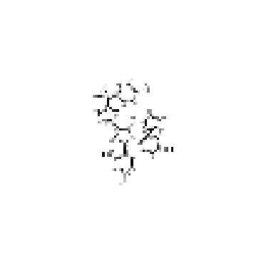 Clc1ccc(-n2c(-c3ccc(Cl)cc3Cl)nc(-c3nnc(C4(c5ccc(Cl)cc5)CC4)o3)c2Cn2cncn2)cc1